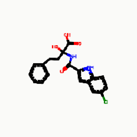 O=C(NC(O)(CCc1ccccc1)C(=O)O)c1cc2cc(Cl)ccc2[nH]1